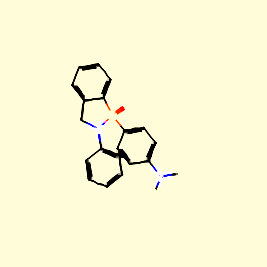 CN(C)c1ccc(P2(=O)c3ccccc3CN2c2ccccc2)cc1